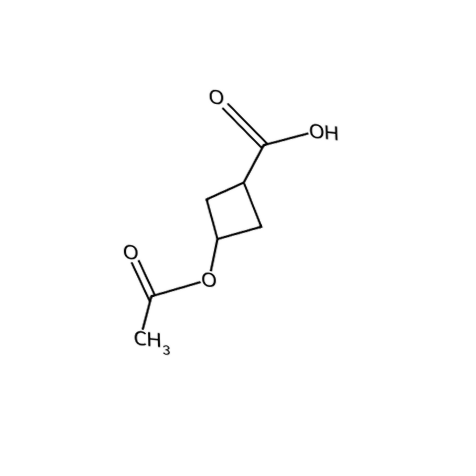 CC(=O)OC1CC(C(=O)O)C1